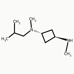 CN[C@H]1C[C@H](N(C)CC(C)C)C1